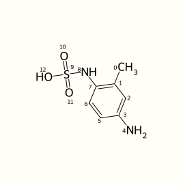 Cc1cc(N)ccc1NS(=O)(=O)O